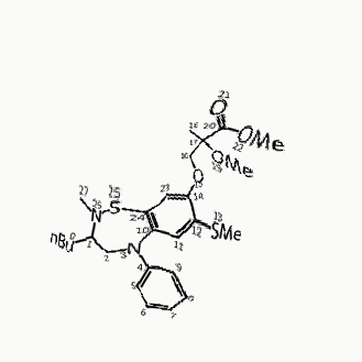 CCCCC1CN(c2ccccc2)c2cc(SC)c(OCC(C)(OC)C(=O)OC)cc2SN1C